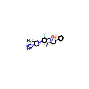 C[C@@H]1CN(c2ccc(CN3[C@@H](C)CC[C@H](c4ccccc4)S3(=O)=O)c(F)c2)CC[C@H]1n1cnnc1